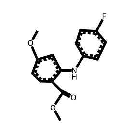 COC(=O)c1ccc(OC)cc1Nc1ccc(F)cc1